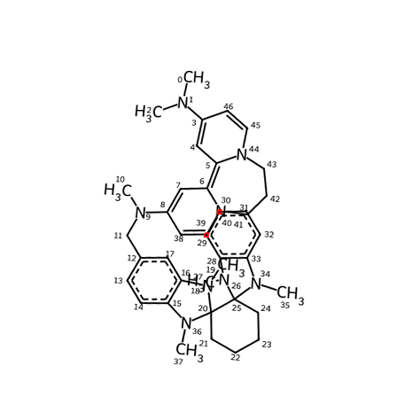 CN(C)C1=CC2=C3C=C(N(C)Cc4ccc5c(c4)N(C)C4(CCCCC46N(C)c4ccccc4N6C)N5C)C=CN3CCCN2C=C1